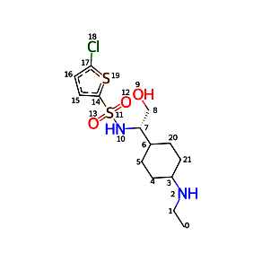 CCNC1CCC([C@@H](CO)NS(=O)(=O)c2ccc(Cl)s2)CC1